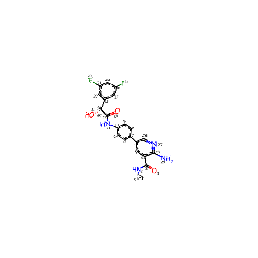 CC(C)NC(=O)c1cc(-c2ccc(NC(=O)[C@H](O)c3cc(F)cc(F)c3)cc2)cnc1N